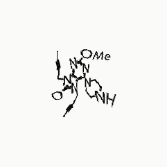 CC#CCn1c(=O)n(CC#CC)c2c(N3CCNCC3)nc(OC)nc21